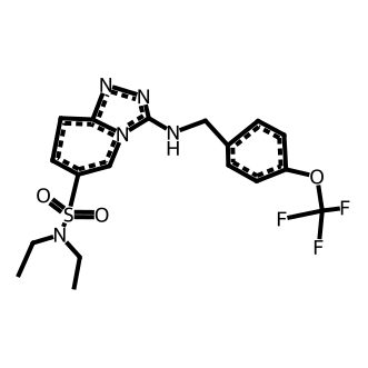 CCN(CC)S(=O)(=O)c1ccc2nnc(NCc3ccc(OC(F)(F)F)cc3)n2c1